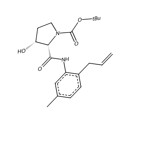 C=CCc1ccc(C)cc1NC(=O)[C@@H]1[C@H](O)CCN1C(=O)OC(C)(C)C